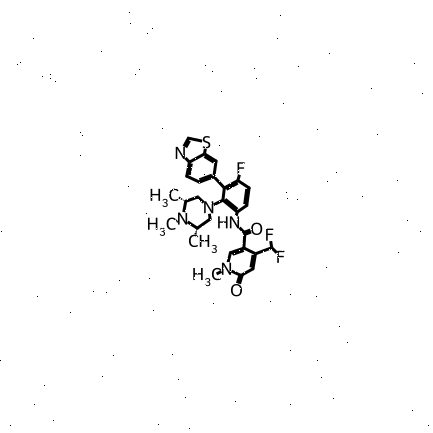 C[C@@H]1CN(c2c(NC(=O)c3cn(C)c(=O)cc3C(F)F)ccc(F)c2-c2ccc3ncsc3c2)C[C@H](C)N1C